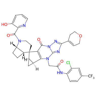 O=C(Cn1c2c(c(=O)n3nc(C4=CCOCC4)nc13)[C@]1(CCN(C(=O)c3ncccc3O)[C@H]3CC[C@H]31)[C@@H]1C[C@H]21)Nc1ccc(C(F)(F)F)cc1Cl